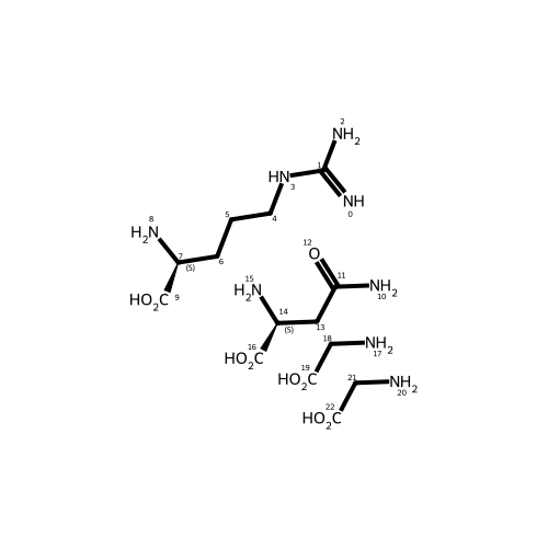 N=C(N)NCCC[C@H](N)C(=O)O.NC(=O)C[C@H](N)C(=O)O.NCC(=O)O.NCC(=O)O